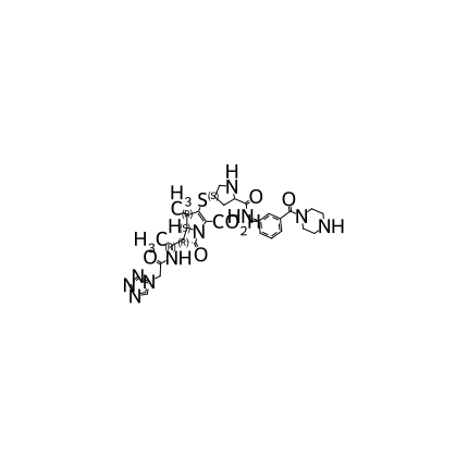 C[C@@H](NC(=O)Cn1cnnn1)[C@H]1C(=O)N2C(C(=O)O)=C(S[C@@H]3CNC(C(=O)Nc4cccc(C(=O)N5CCNCC5)c4)C3)[C@H](C)[C@H]12